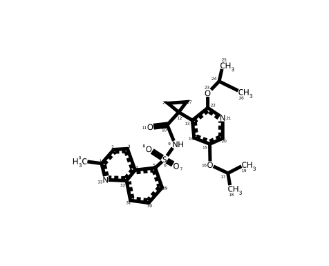 Cc1ccc2c(S(=O)(=O)NC(=O)C3(c4cc(OC(C)C)cnc4OC(C)C)CC3)cccc2n1